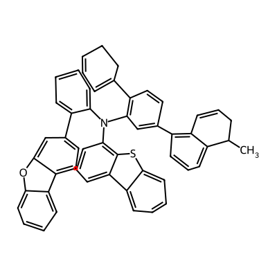 CC1CC=Cc2c(-c3ccc(C4=CC=CCC4)c(N(c4ccccc4-c4ccc5c(c4)oc4ccccc45)c4cccc5c4sc4ccccc45)c3)cccc21